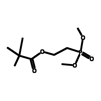 COP(=O)(CCOC(=O)C(C)(C)C)OC